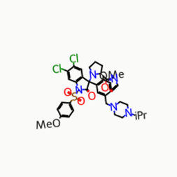 COc1ccc(S(=O)(=O)N2C(=O)C(c3cc(CN4CCN(C(C)C)CC4)ccc3OC)(N3CCC[C@H]3c3ncco3)c3cc(Cl)c(Cl)cc32)cc1